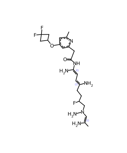 C/C(N)=C/N(N)CC(F)CC/C(N)=C/C=C(\N)NC(=O)Cc1cc(OC2CC(F)(F)C2)cc(C)n1